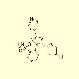 NS(=O)(=O)c1ccccc1-n1nc(-c2ccncc2)cc1-c1ccc(Cl)cc1